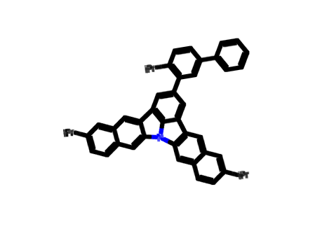 CC(C)c1ccc2cc3c(cc2c1)c1cc(-c2cc(-c4ccccc4)ccc2C(C)C)cc2c4cc5cc(C(C)C)ccc5cc4n3c12